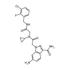 NC(=O)c1nn(CC(=O)N(CC(=O)NCc2cccc(Cl)c2F)C2CC2)c2cc(N)ccc12